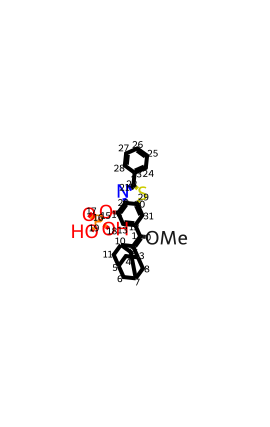 COC(=C1C2CC3CC(C2)CC1C3)c1cc(OP(=O)(O)O)c2nc(-c3ccccc3)sc2c1